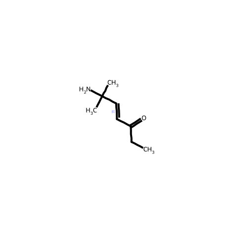 CCC(=O)/C=C/C(C)(C)N